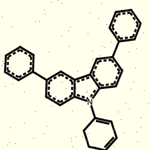 C1=CCCC(n2c3ccc(-c4ccccc4)cc3c3cc(-c4ccccc4)ccc32)=C1